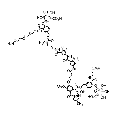 C=C1C[C@H]2C(O)N(C(=O)OCc3ccc(O[C@@H]4O[C@H](C(=O)O)[C@@H](O)[C@H](O)[C@H]4O)c(C(=O)NCCOC)c3)c3cc(OCCCC(=O)Nc4cc(C(=O)Nc5cc(C(=O)NCCCN(C)C(=O)OCc6ccc(O[C@@H]7OC(C(=O)O)[C@@H](O)C(O)[C@H]7O)c(C(=O)NCCOCCOCCON)c6)n(C)c5)n(C)c4)c(OC)cc3C(=O)N2C1